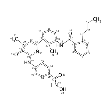 CCCCc1ccccc1C(=O)Nc1cccc(-c2cn(C)c(=O)c(Nc3ccc(C(=O)NO)cc3)n2)c1C